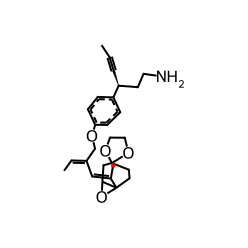 CC#C[C@@H](CCN)c1ccc(OCC(=C/C)/C=C(\C)C23CCC4(CC2O3)OCCO4)cc1